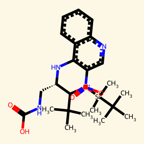 CC(C)(C)C(O[Si](C)(C)C(C)(C)C)[C@H](CNC(=O)O)Nc1c([N+](=O)[O-])cnc2ccccc12